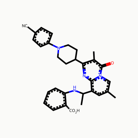 Cc1cc(C(C)Nc2ccccc2C(=O)O)c2nc(C3CCN(c4ccc(C#N)cc4)CC3)c(C)c(=O)n2c1